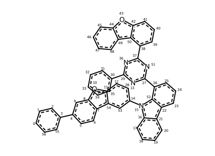 c1ccc(-c2ccc3c(c2)oc2ccc(-n4c5ccccc5c5cccc(-c6nc(-c7ccccc7)nc(-c7cccc8oc9ccccc9c78)n6)c54)cc23)cc1